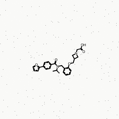 CC(C)N(Cc1ccccc1OCC1CN(CC(=O)O)C1)C(=O)c1ccc(-c2ccco2)cc1